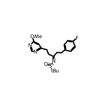 COc1cc(CC/C(CCc2ccc(F)cc2)=N\[S@@+]([O-])C(C)(C)C)ncn1